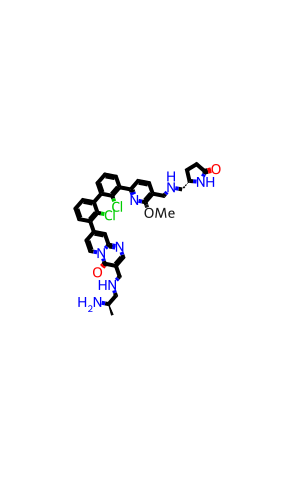 COc1nc(-c2cccc(-c3cccc(-c4ccn5c(=O)c(CNC[C@@H](C)N)cnc5c4)c3Cl)c2Cl)ccc1CNC[C@@H]1CCC(=O)N1